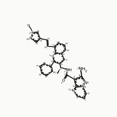 C[C@H](NC(=O)c1c(N)nn2cccnc12)c1cc2cccc(/C=C/c3cnn(C)c3)c2nc1-c1ccccc1